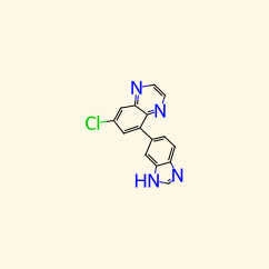 Clc1cc(-c2ccc3nc[nH]c3c2)c2nccnc2c1